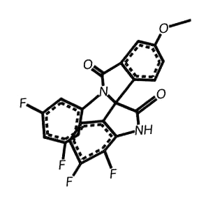 COc1ccc2c(c1)C(=O)N(c1cc(F)cc(F)c1)C21C(=O)Nc2c1ccc(F)c2F